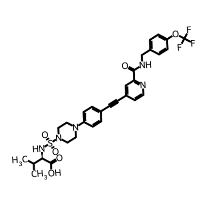 CC(C)[C@@H](NS(=O)(=O)N1CCN(c2ccc(C#Cc3ccnc(C(=O)NCc4ccc(OC(F)(F)F)cc4)c3)cc2)CC1)C(=O)O